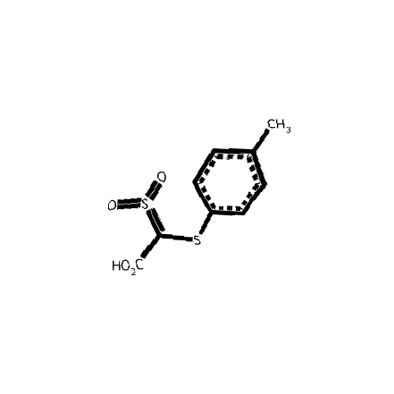 Cc1ccc(SC(C(=O)O)=S(=O)=O)cc1